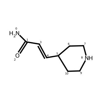 NC(=O)C=CC1CCNCC1